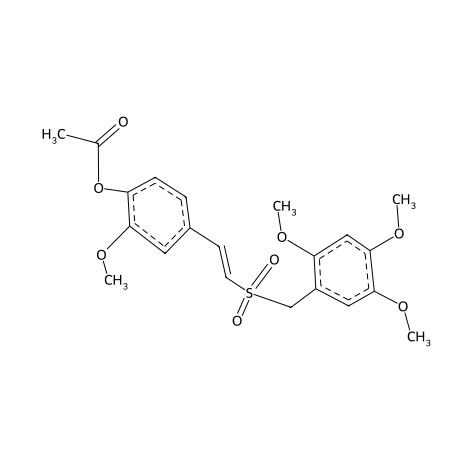 COc1cc(OC)c(OC)cc1CS(=O)(=O)C=Cc1ccc(OC(C)=O)c(OC)c1